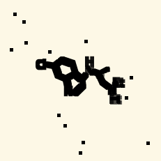 CCN(CC)C[C@H](C)Nc1ccnc2cc(Cl)ccc12